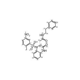 Cc1ccc([N+](=O)[O-])cc1S(=O)(=O)N1c2ccccc2NC(=O)[C@H]1CC(=O)NCCc1ccncc1